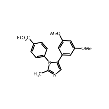 CCOC(=O)c1ccc(-n2c(-c3cc(OC)cc(OC)c3)cnc2C)cc1